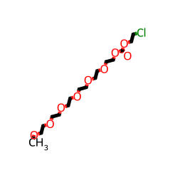 COCCOCCOCCOCCOCCOCCOC(=O)OCCCl